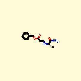 CCC(C)[C@H](NCCC(=O)OCc1ccccc1)C(N)=O